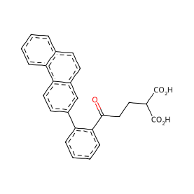 O=C(CCC(C(=O)O)C(=O)O)c1ccccc1-c1ccc2c(ccc3ccccc32)c1